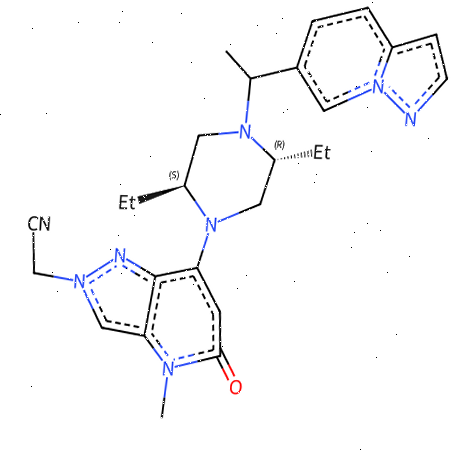 CC[C@H]1CN(C(C)c2ccc3ccnn3c2)[C@H](CC)CN1c1cc(=O)n(C)c2cn(CC#N)nc12